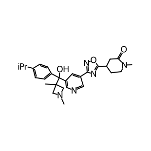 CC(C)c1ccc(C(O)(c2cncc(-c3noc(C4CCN(C)C(=O)C4)n3)c2)C2(C)CN(C)C2)cc1